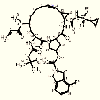 C=CC(=O)N(C)C1CCC/C=C\C2C[C@@]2(C(=O)NS(=O)(=O)C2CC2)NC(=O)C2CC(OC(=O)N3Cc4cccc(F)c4C3)CN2C(=O)[C@@H](NC(=O)OC(C)(C)C)C1